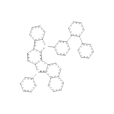 c1ccc(-c2ccccc2-c2cccc(-n3c4ccccc4c4ccc5c(c6ccc7ccccc7c6n5-c5ccccc5)c43)c2)cc1